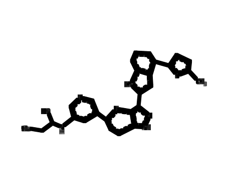 Cc1ccc(-c2cccc3[nH]c(-c4n[nH]c5ccc(-c6cncc(NC(O)CC(C)(C)C)c6)nc45)cc23)s1